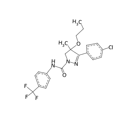 CCCOC1(C)CN(C(=O)Nc2ccc(C(F)(F)F)cc2)N=C1c1ccc(Cl)cc1